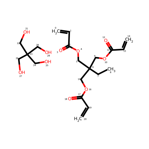 C=CC(=O)OCC(CC)(COC(=O)C=C)COC(=O)C=C.OCC(CO)(CO)CO